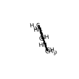 CCCCNCCSSCCNC(=O)CCCCCNCCCCC(C)C